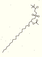 CCCCCCCCCCCCCCCCOCC(CCS(=O)(=O)CCC(Cl)[N+](C)(C)C)OC(C)=O